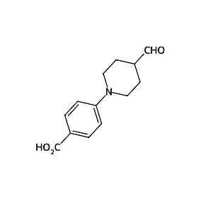 O=CC1CCN(c2ccc(C(=O)O)cc2)CC1